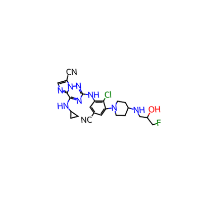 N#Cc1cc(Nc2nc(NC3CC3)c3ncc(C#N)n3n2)c(Cl)c(N2CCC(NCC(O)CF)CC2)c1